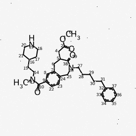 COC(=O)CC1Cc2cc(C(=O)N(C)CCC3CCNCC3)ccc2CN(CCCCCc2ccccc2)C1=O